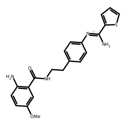 COc1ccc(N)c(C(=O)NCCc2ccc(/N=C(\N)c3cccs3)cc2)c1